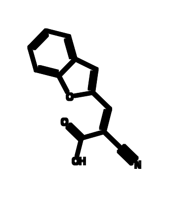 N#CC(=Cc1cc2ccccc2o1)C(=O)O